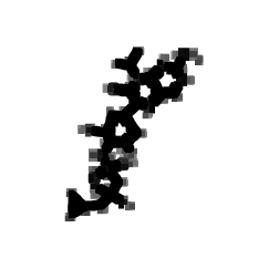 CC(C)n1c(=O)c(-c2cc(F)c(NS(=O)(=O)CC(F)(F)CC3CC3)c(F)c2)nc2cnc(N)nc21